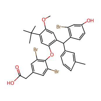 COc1cc(C(c2cccc(C)c2)c2ccc(O)cc2Br)c(Oc2c(Br)cc(CC(=O)O)cc2Br)cc1C(C)(C)C